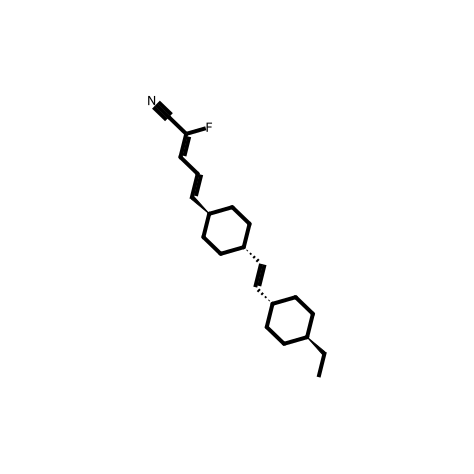 CC[C@H]1CC[C@H](C=C[C@H]2CC[C@H](C=CC=C(F)C#N)CC2)CC1